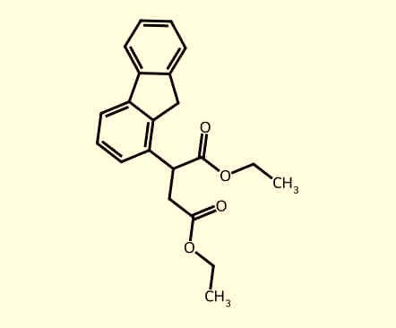 CCOC(=O)CC(C(=O)OCC)c1cccc2c1Cc1ccccc1-2